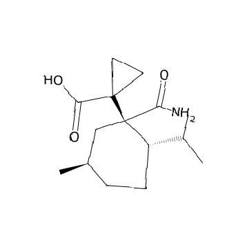 CC(C)[C@@H]1CC[C@@H](C)C[C@@]1(C(N)=O)C1(C(=O)O)CC1